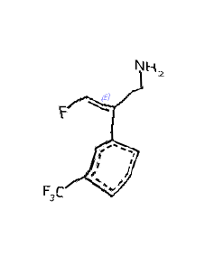 NC/C(=C/F)c1cccc(C(F)(F)F)c1